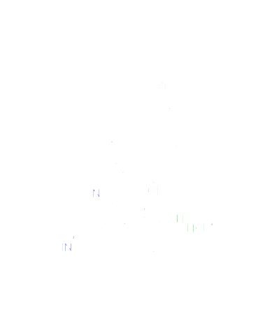 COc1ccc2cc(C(C[N+]3(C4CCNCC4)CCCCC3)C3(O)CCCCC3)ccc2c1.Cl.Cl